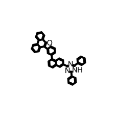 c1ccc(C2=NC(c3ccc4c(-c5ccc6oc7c8ccccc8c8ccccc8c7c6c5)cccc4c3)=NC(c3ccccc3)N2)cc1